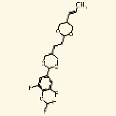 CC=CC1COC(CCC2COC(c3cc(F)c(OC(F)F)c(F)c3)OC2)OC1